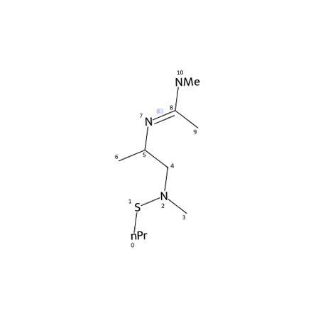 CCCSN(C)CC(C)/N=C(\C)NC